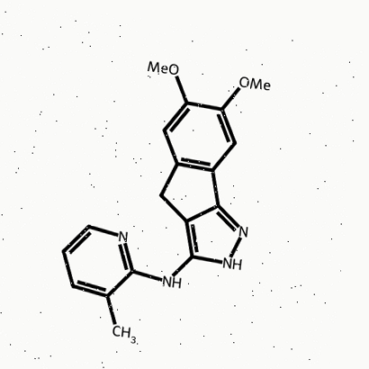 COc1cc2c(cc1OC)-c1n[nH]c(Nc3ncccc3C)c1C2